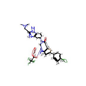 CN(C)Cc1nc2cc(N3CN(OC(=O)C(F)(F)F)c4cc(-c5ccc(Cl)cc5)sc4C3=O)ccc2[nH]1